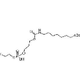 CCCCCCCCCCCCCCCCCNC(=O)OCCCOP(=O)(O)OCCBr